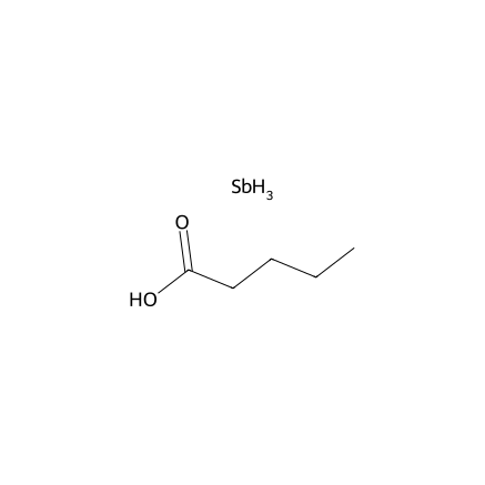 CCCCC(=O)O.[SbH3]